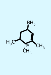 BC1C=C(C)[C@H](C)C(C)C1